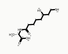 C[C@H](NC(=O)CCCCC(S)CCS)C(=O)O